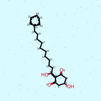 O=C1CC(O)CC(=O)C1=C(O)CCCCCCCCCCc1ccccc1